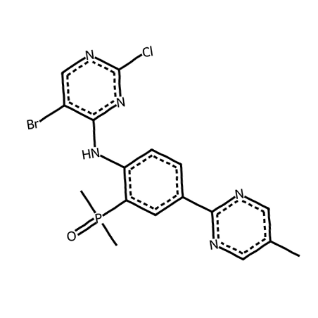 Cc1cnc(-c2ccc(Nc3nc(Cl)ncc3Br)c(P(C)(C)=O)c2)nc1